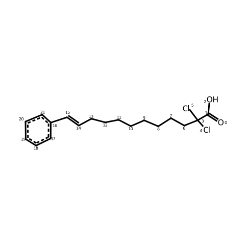 O=C(O)C(Cl)(Cl)CCCCCCCC/C=C/c1ccccc1